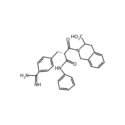 N=C(N)c1ccc(C[C@@H](C(=O)Nc2ccccc2)C(=O)N2Cc3ccccc3CC2C(=O)O)cc1